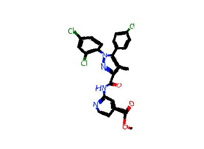 COC(=O)c1ccnc(NC(=O)c2nn(-c3ccc(Cl)cc3Cl)c(-c3ccc(Cl)cc3)c2C)c1